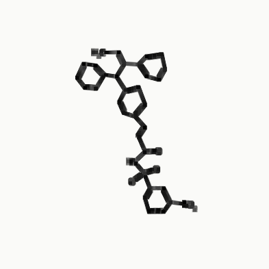 CC=C(c1ccccc1)C(c1ccccc1)c1ccc(C=CC(=O)NS(=O)(=O)c2cccc([N+](=O)[O-])c2)cc1